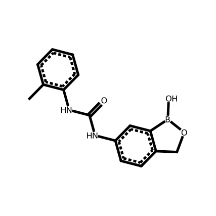 Cc1ccccc1NC(=O)Nc1ccc2c(c1)B(O)OC2